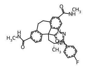 CNC(=O)c1ccc2c(c1)CCc1cc(C(=O)NC)ccc1C2(C[C@@H](C)N)c1nnc(-c2ccc(F)cc2)o1